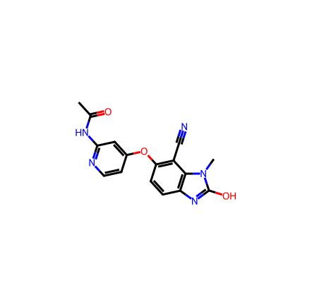 CC(=O)Nc1cc(Oc2ccc3nc(O)n(C)c3c2C#N)ccn1